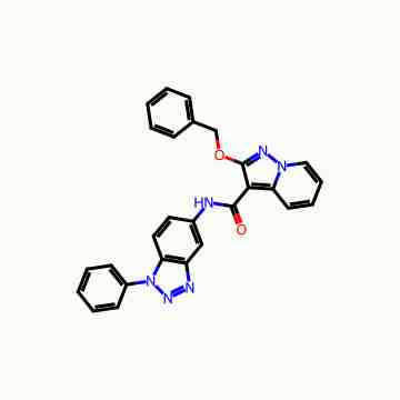 O=C(Nc1ccc2c(c1)nnn2-c1ccccc1)c1c(OCc2ccccc2)nn2ccccc12